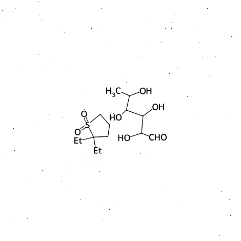 CC(O)C(O)C(O)C(O)C=O.CCC1(CC)CCCS1(=O)=O